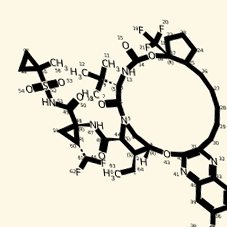 CC[C@@H]1[C@@H]2CN(C(=O)[C@H](C(C)(C)C)NC(=O)O[C@]3(C(F)(F)F)CCCC3CCCCCc3nc4ccc(OC)cc4nc3O2)[C@@H]1C(=O)N[C@]1(C(=O)NS(=O)(=O)C2(C)CC2)C[C@H]1C(F)F